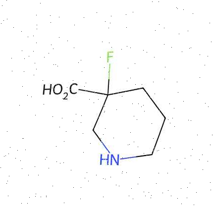 O=C(O)C1(F)CCCNC1